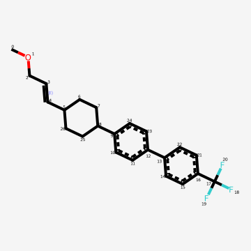 COC/C=C/C1CCC(c2ccc(-c3ccc(C(F)(F)F)cc3)cc2)CC1